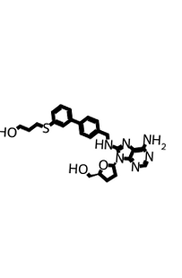 Nc1ncnc2c1nc(NCc1ccc(-c3cccc(SCCCO)c3)cc1)n2[C@H]1CC[C@@H](CO)O1